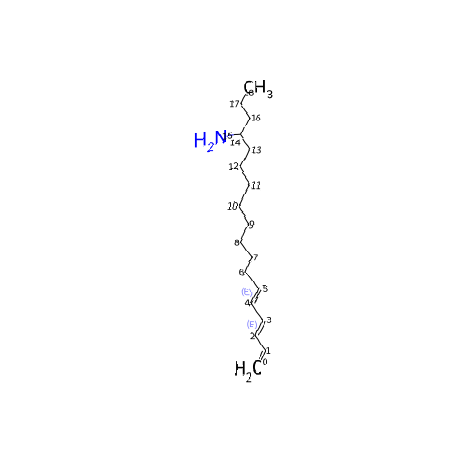 C=C/C=C/C=C/CCCCCCCCC(N)CCC